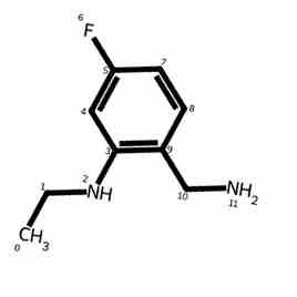 CCNc1cc(F)ccc1CN